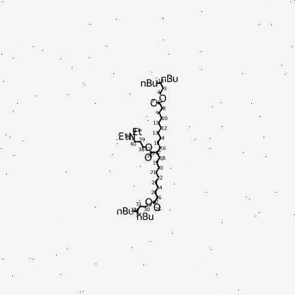 CCCCC(CCCC)CCOC(=O)CCCCCCCCCC(CCCCCCCCCC(=O)OCCC(CCCC)CCCC)C(=O)OCCCN(CC)CC